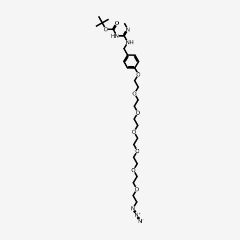 C/N=C(/NCc1ccc(OCCOCCOCCOCCOCCOCCOCCN=[N+]=[N-])cc1)NC(=O)OC(C)(C)C